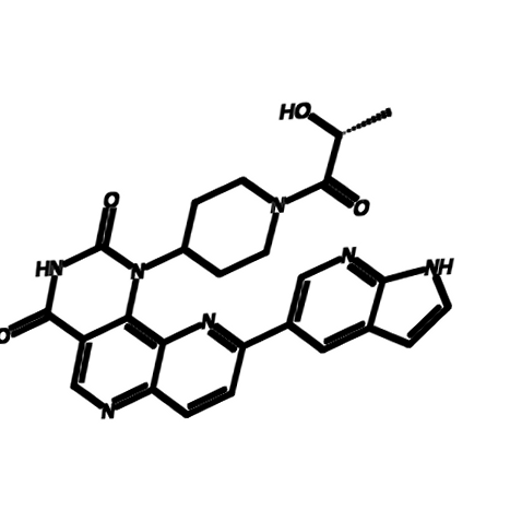 C[C@@H](O)C(=O)N1CCC(n2c(=O)[nH]c(=O)c3cnc4ccc(-c5cnc6[nH]ccc6c5)nc4c32)CC1